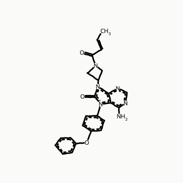 CC=CC(=O)N1CC(n2c(=O)n(-c3ccc(Oc4ccccc4)cc3)c3c(N)ncnc32)C1